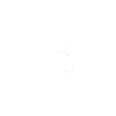 CC(C)OC1CCN(C(=O)OCc2ccccc2)C1